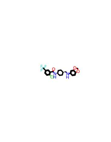 O=C(N[C@H]1CC[C@H](CNc2ccc3c(c2)OCO3)CC1)c1cc(C(F)(F)F)ccc1Cl